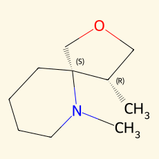 C[C@H]1COC[C@]12CCCCN2C